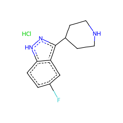 Cl.Fc1ccc2[nH]nc(C3CCNCC3)c2c1